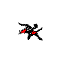 CCCCCCCCCCC[C@H](CC(=O)N[C@H](COCc1ccccc1)CO[C@H]1O[C@H](COC(=O)OC(C)(C)C(Cl)(Cl)Cl)[C@@H](OP(=O)(Oc2ccccc2)Oc2ccccc2)[C@H](OC(=O)C[C@@H](CCCCCCCCCCC)OC(=O)CCCCCCCCC)[C@@H]1C(=O)OCC(Cl)(Cl)Cl)OC(=O)CCCCCCCCC